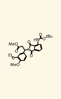 CCOc1cc(C(CC(=O)OC)N2C(=O)c3cccc(NC(=O)OC(C)(C)C)c3C2=O)ccc1OC